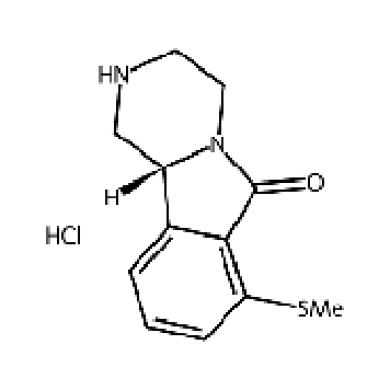 CSc1cccc2c1C(=O)N1CCNC[C@@H]21.Cl